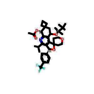 CC(=O)O[C@H]1c2nc(C(C)C)c3c(c2C(O[Si](C)(C)C(C)(C)C)CC12CCC2)C1(CCOCC1)O[C@@H]3c1ccc(C(F)(F)F)cc1